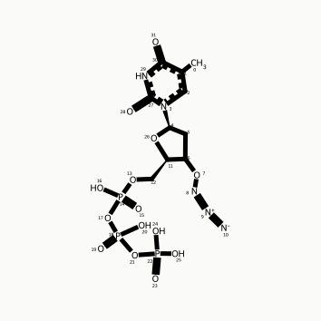 Cc1cn([C@H]2CC(ON=[N+]=[N-])[C@@H](COP(=O)(O)OP(=O)(O)OP(=O)(O)O)O2)c(=O)[nH]c1=O